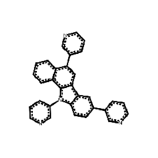 c1cncc(-c2ccc3c(c2)c2cc(-c4cccnc4)c4ccccc4c2n3-c2cccnc2)c1